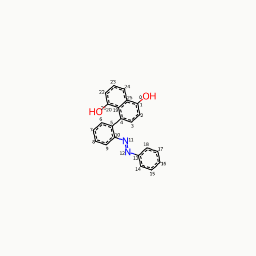 Oc1ccc(-c2ccccc2N=Nc2ccccc2)c2c(O)cccc12